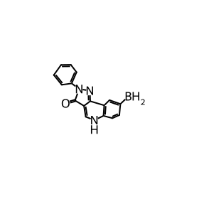 Bc1ccc2[nH]cc3c(=O)n(-c4ccccc4)nc-3c2c1